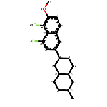 COc1ccc2cc(C3CCC4CC(C)CCC4C3)cc(F)c2c1F